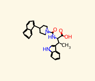 C[C@@H](c1c[nH]c2ccccc12)[C@@H](NC(=O)N1CCC(c2cccc3ccccc23)CC1)C(=O)O